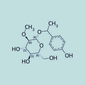 CO[C@H]1[C@H](OC(C)c2ccc(O)cc2)O[C@H](CO)[C@@H](O)[C@@H]1O